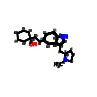 CN1CCC[C@@H]1Cc1c[nH]c2ccc(CCC3(O)CCCCC3)cc12